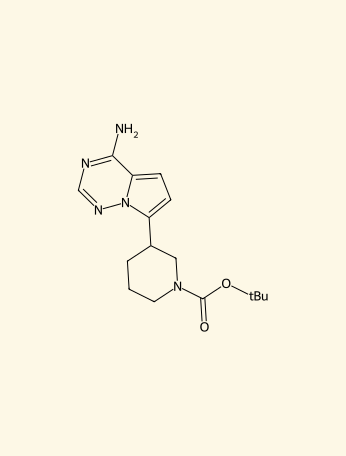 CC(C)(C)OC(=O)N1CCCC(c2ccc3c(N)ncnn23)C1